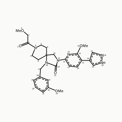 COCC(=O)N1CCC2(CC1)CN(c1ccc(-c3cn[nH]c3)c(OC)n1)C(=O)N2Cc1cccc(OC)c1